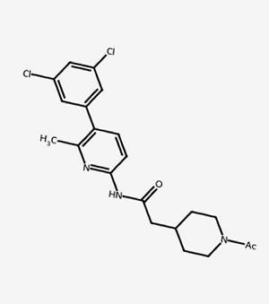 CC(=O)N1CCC(CC(=O)Nc2ccc(-c3cc(Cl)cc(Cl)c3)c(C)n2)CC1